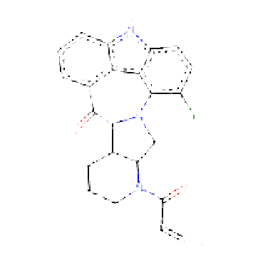 C=CC(=O)N1CCCC2CN(c3c(F)ccc4[nH]c5cccc(C(N)=O)c5c34)CC21